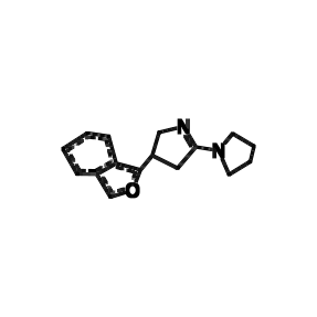 c1ccc2c(C3CN=C(N4CCCC4)C3)occ2c1